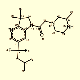 CC(C)CC(F)(F)c1cnc2c(c1)N(C(=O)CN1CCNC(C)C1)CC2(C)C